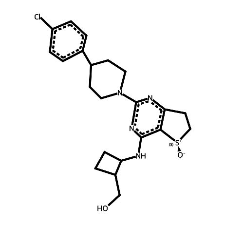 [O-][S@+]1CCc2nc(N3CCC(c4ccc(Cl)cc4)CC3)nc(NC3CCC3CO)c21